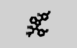 CNCC(O)C(c1cccc(F)c1)n1cc(-c2ccc(F)cc2F)c2ccccc21